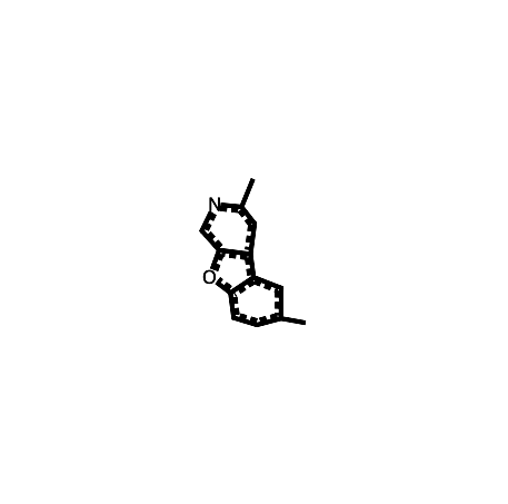 Cc1ccc2oc3cnc(C)cc3c2c1